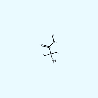 COC(=O)C(C)(C)[NH]